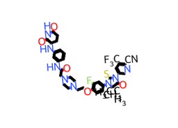 Cc1cc(OCCN2CCN(CC(=O)Nc3cccc(NC4CCC(=O)NC4=O)c3)CC2)c(F)cc1N1C(=S)N(c2cnc(C#N)c(C(F)(F)F)c2)C(=O)C1(C)C